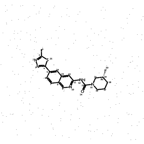 Cc1nnc(-c2ccc3cnc(NC(=O)N4CCC[C@@H](F)C4)cc3c2)s1